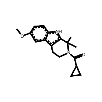 COc1ccc2[nH]c3c(c2c1)CCN(C(=O)C1CC1)C3(C)C